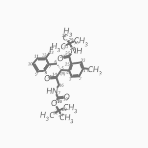 Cc1ccc([C@@H](Cc2ccccc2F)C(=O)CNC(=O)OC(C)(C)C)c(C(=O)NC(C)(C)C)c1